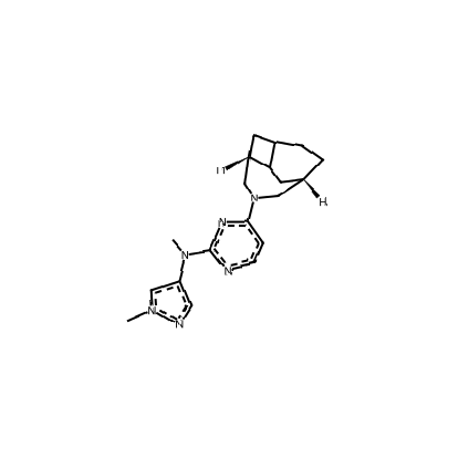 CN(c1cnn(C)c1)c1nccc(N2C[C@H]3CCC4C[C@@H](C2)C4C3)n1